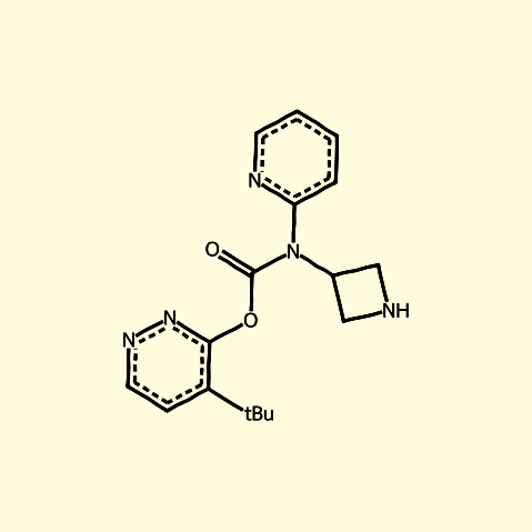 CC(C)(C)c1ccnnc1OC(=O)N(c1ccccn1)C1CNC1